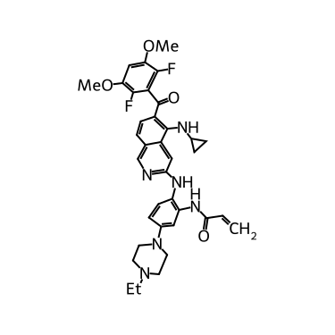 C=CC(=O)Nc1cc(N2CCN(CC)CC2)ccc1Nc1cc2c(NC3CC3)c(C(=O)c3c(F)c(OC)cc(OC)c3F)ccc2cn1